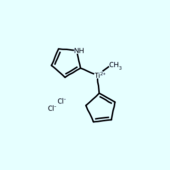 [CH3][Ti+2]([C]1=CC=CC1)[c]1ccc[nH]1.[Cl-].[Cl-]